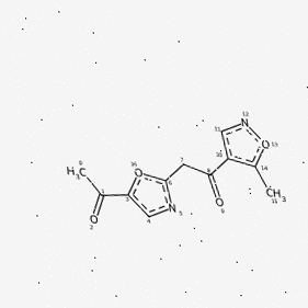 CC(=O)c1cnc(CC(=O)c2cnoc2C)o1